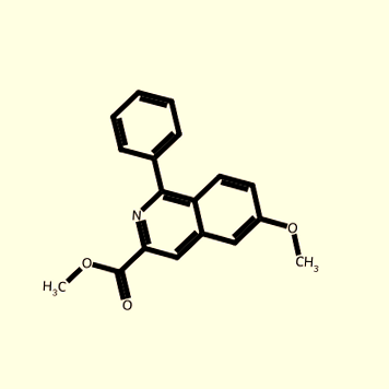 COC(=O)c1cc2cc(OC)ccc2c(-c2ccccc2)n1